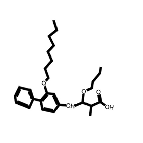 CCCCCCCCOc1cc(O)ccc1-c1ccccc1.CCCCOC(C)C(C)C(=O)O